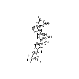 CC(C)(C)CC(=O)Nc1cncc(-c2ccc3[nH]nc(-c4nc5c(-c6cc(O)cc(F)c6)cncc5[nH]4)c3n2)c1